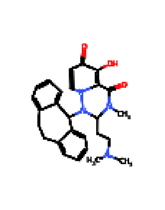 CN(C)CCC1N(C)C(=O)c2c(O)c(=O)ccn2N1C1c2ccccc2CCc2ccccc21